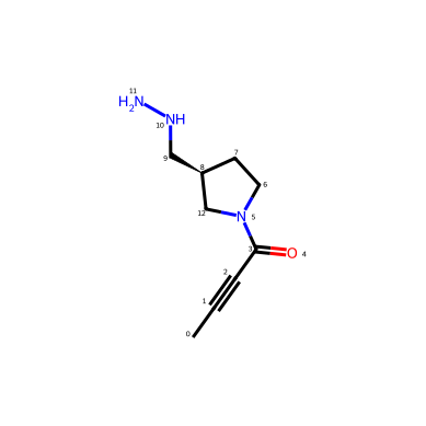 CC#CC(=O)N1CC[C@H](CNN)C1